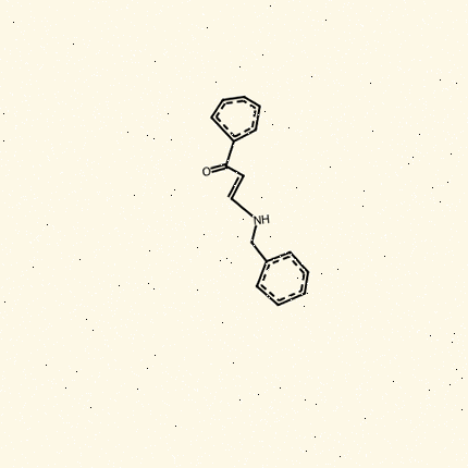 O=C(C=CNCc1ccccc1)c1ccccc1